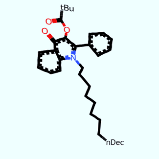 CCCCCCCCCCCCCCCCCCn1c(-c2ccccc2)c(OC(=O)C(C)(C)C)c(=O)c2ccccc21